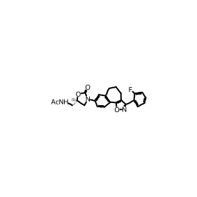 CC(=O)NC[C@H]1CN(c2ccc3c(c2)CCCc2c(-c4ccccc4F)noc2-3)C(=O)O1